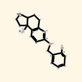 CC12CCNC1CCc1nc(OCc3ccccc3Cl)ccc12